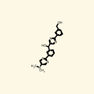 CN(C)c1cnc(-c2cccc(C(O)c3cnc(-c4cccc(CO)c4)nc3)c2)nc1